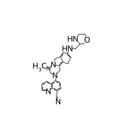 C[C@@H]1CN(c2ccc(C#N)c3ncccc23)CC2=C3CC=C(NCC4COCCN4)C=C3CN21